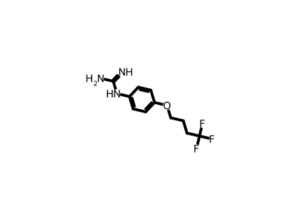 N=C(N)Nc1ccc(OCCCC(F)(F)F)cc1